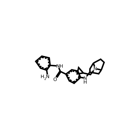 Nc1ccccc1NC(=O)c1ccc(NC2CC3CCC(C2)N3CC2CC2)cc1